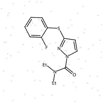 CCN(CC)C(=O)n1ccc(Sc2ccccc2F)n1